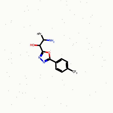 CCCC(N)C(O)c1nnc(-c2ccc(C(F)(F)F)cc2)o1